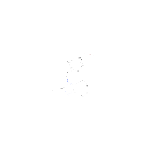 Cc1nc2ccccc2n1Cc1ccc(OC(F)(F)F)cc1